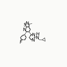 Cc1nsc2nc(-c3ccc(F)cc3)c(-c3ccnc(NCC4CC4)n3)cc12